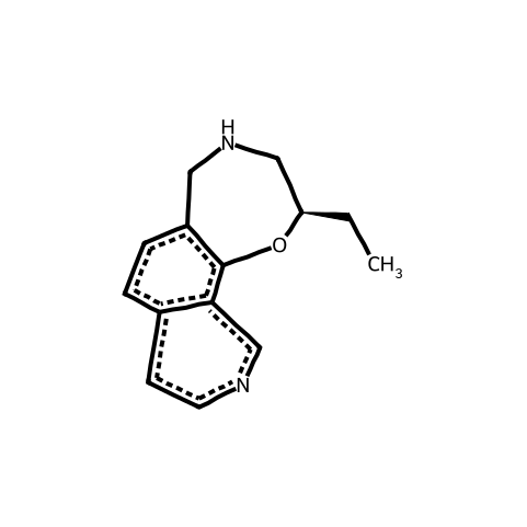 CC[C@@H]1CNCc2ccc3ccncc3c2O1